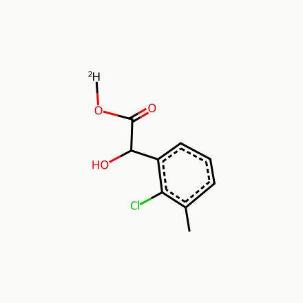 [2H]OC(=O)C(O)c1cccc(C)c1Cl